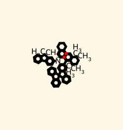 CC1(C)CCC(C)(C)c2c(-c3cc4c(cc3N(c3ccc5c(c3)CCCC5)c3ccc5c(c3)C(C)(C)c3ccccc3-5)C3(c5ccccc5-c5ccccc53)c3ccccc3-4)cccc21